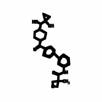 CC1(C(=O)Nc2cccc(-c3ccc(C(=O)N4CCN(C(O)C5(O)CC5)CC4)cc3)c2)COC1